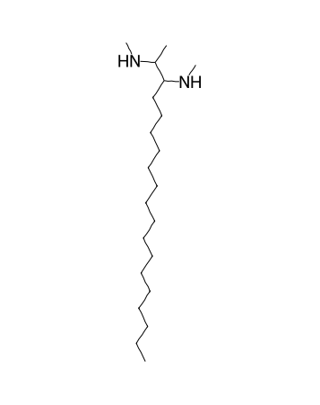 CCCCCCCCCCCCCCCCC(NC)C(C)NC